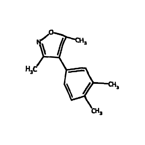 Cc1ccc(-c2c(C)noc2C)cc1C